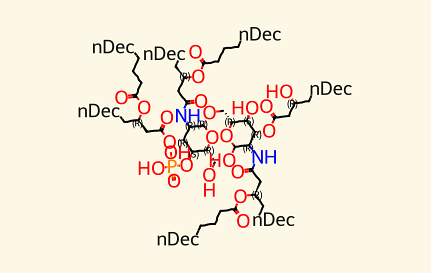 CCCCCCCCCCCCCC(=O)O[C@H](CCCCCCCCCCC)CC(=O)N[C@H]1[C@H](OC[C@H]2OC(O)[C@H](NC(=O)C[C@@H](CCCCCCCCCCC)OC(=O)CCCCCCCCCCCCC)[C@@H](OC(=O)C[C@H](O)CCCCCCCCCCC)[C@@H]2O)O[C@H](CO)[C@@H](OP(=O)(O)O)[C@@H]1OC(=O)C[C@@H](CCCCCCCCCCC)OC(=O)CCCCCCCCCCCCC